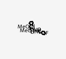 COc1c(C(=O)NNC(=O)Cc2ccc(F)cc2)nc2ccccc2c1OC